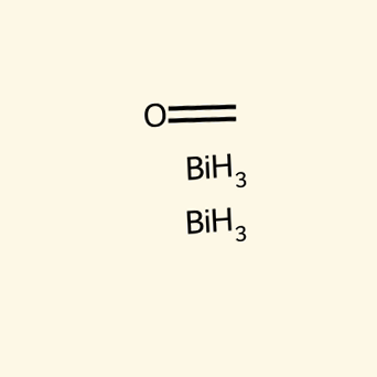 C=O.[BiH3].[BiH3]